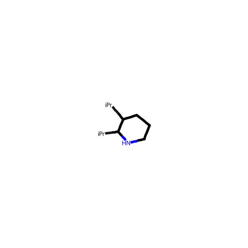 CC(C)C1CCCNC1C(C)C